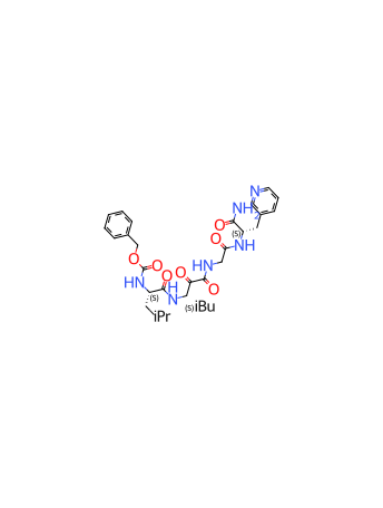 CC[C@H](C)C(NC(=O)[C@H](CC(C)C)NC(=O)OCc1ccccc1)C(=O)C(=O)NCC(=O)N[C@@H](Cc1cccnc1)C(N)=O